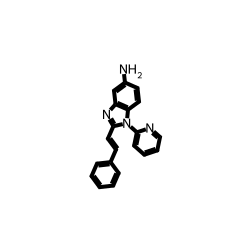 Nc1ccc2c(c1)nc(/C=C/c1ccccc1)n2-c1ccccn1